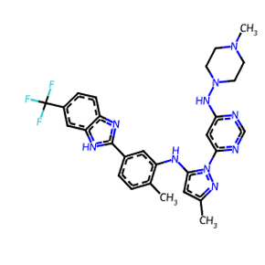 Cc1cc(Nc2cc(-c3nc4ccc(C(F)(F)F)cc4[nH]3)ccc2C)n(-c2cc(NN3CCN(C)CC3)ncn2)n1